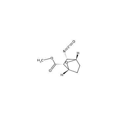 COC(=O)[C@@H]1[C@H](N=C=O)[C@@H]2CC[C@H]1O2